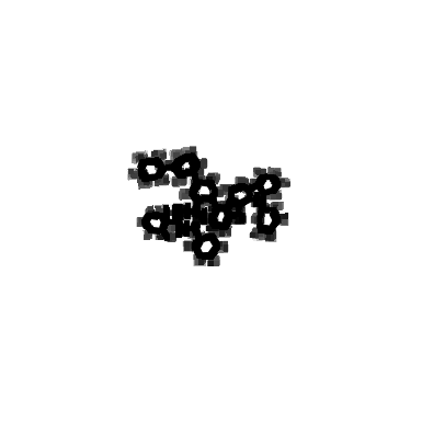 CC1CCC=CC1C1=NC(C2=CCCCC2)=NC(C2=C(c3cccc4sc5c(c34)C=CC3C4=CC=CCC4N(C4C=CC=CC4)C53)CCC(c3cccc(C4C=CC=CC4)c3)=C2)N1